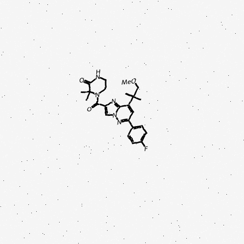 COCC(C)(C)c1cc(-c2ccc(F)cc2)nn2cc(C(=O)N3CCNC(=O)C3(C)C)nc12